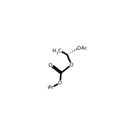 CC(=O)O[C@@H](C)OC(=O)OC(C)C